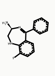 N[C@@H]1CNc2c(F)cccc2C(c2ccccc2)=N1